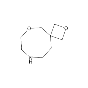 C1COCC2(CCN1)COC2